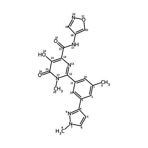 Cc1cc(-c2ccn(C)n2)cc(-c2nc(C(=O)Nc3cnoc3)c(O)c(=O)n2C)c1